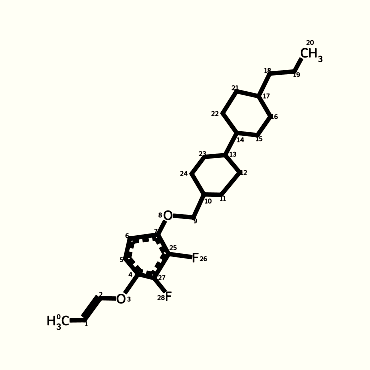 C/C=C/Oc1ccc(OCC2CCC(C3CCC(CCC)CC3)CC2)c(F)c1F